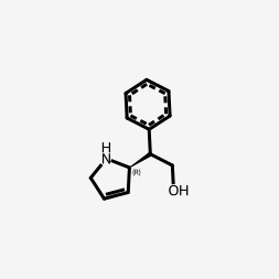 OCC(c1ccccc1)[C@H]1C=CCN1